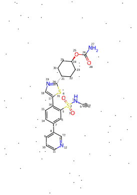 CC(C)(C)NS(=O)(=O)c1cc(-c2cccnc2)ccc1-c1cnc([C@H]2CC[C@H](OC(N)=O)CC2)s1